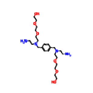 NCCN(CCOCCOCCO)Cc1ccc(CN(CCN)CCOCCOCCO)cc1